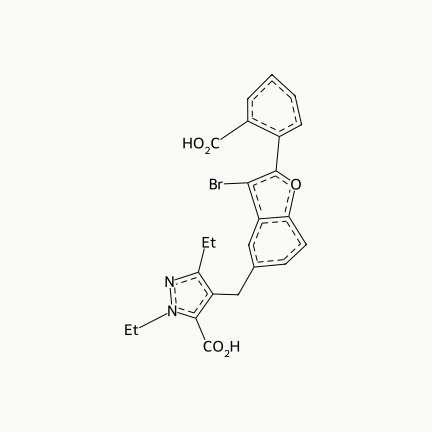 CCc1nn(CC)c(C(=O)O)c1Cc1ccc2oc(-c3ccccc3C(=O)O)c(Br)c2c1